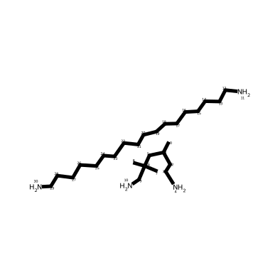 CC(CCN)CC(C)(C)CN.NCCCCCCCCCCCCCCCCCCN